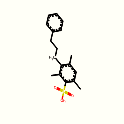 Cc1cc(C)c(S(=O)(=O)O)c(C)c1[SiH2]CCc1ccccc1